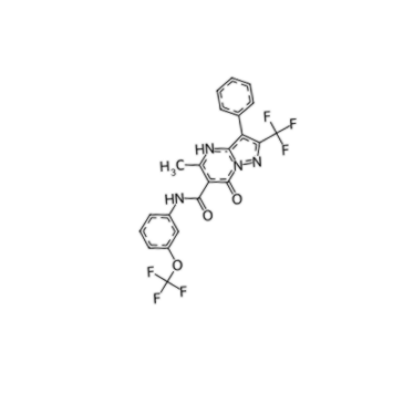 Cc1[nH]c2c(-c3ccccc3)c(C(F)(F)F)nn2c(=O)c1C(=O)Nc1cccc(OC(F)(F)F)c1